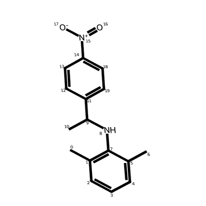 Cc1cccc(C)c1NC(C)c1ccc([N+](=O)[O-])cc1